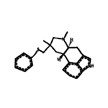 CN1CC(C)(CSc2ccccc2)C[C@H]2c3cccc4[nH]cc(c34)C[C@@H]21